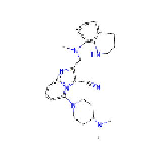 CN(Cc1nc2cccc(N3CCC(N(C)C)CC3)n2c1C#N)c1cccc2c1NCCC2